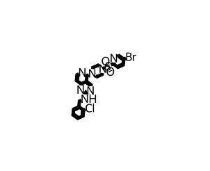 O=S(=O)(c1ccc(Br)cn1)N1CCN(c2nccc3nc(NCc4ccccc4Cl)ncc23)CC1